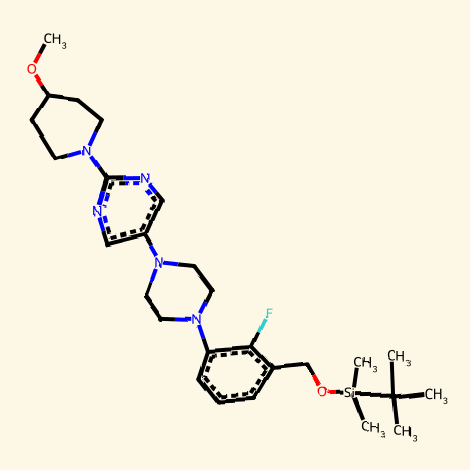 COC1CCN(c2ncc(N3CCN(c4cccc(CO[Si](C)(C)C(C)(C)C)c4F)CC3)cn2)CC1